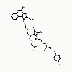 CCCCc1nc2c(N)nc3ccccc3c2n1OCCCCN(CCCN(C)C)c1c(NCCNC(=O)CCCc2ccc(I)cc2)c(=O)c1=O